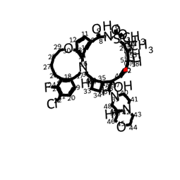 C[C@@H]1[C@@H](C)S(=O)(=O)NC(=O)c2ccc3c(c2)N(Cc2ccc(Cl)c(F)c2CCCCO3)C[C@@H]2CC[C@H]2[C@](O)(CN2CCN3CCOC[C@H]3C2)C2=C[C@H]1C2